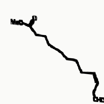 COC(=O)CCCCCCC/C=C\CC=O